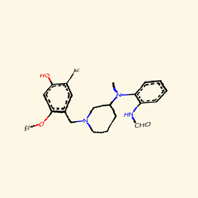 CCOc1cc(O)c(C(C)=O)cc1CN1CCCC(N(C)c2ccccc2NC=O)C1